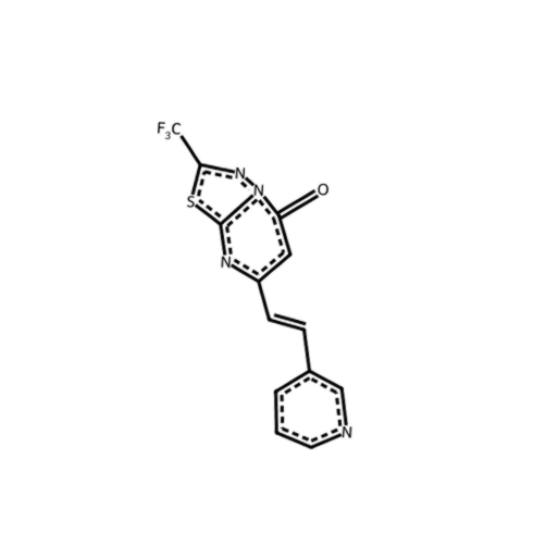 O=c1cc(/C=C/c2cccnc2)nc2sc(C(F)(F)F)nn12